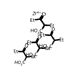 CCC(=O)C(CC)C(=O)O.CCC(=O)C(CC)C(=O)O.CCC(=O)C(CC)C(=O)O.CCC(=O)C(CC)C(=O)O.[Zr+4]